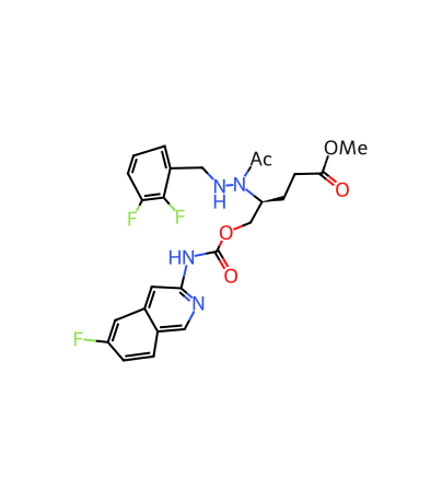 COC(=O)CC[C@@H](COC(=O)Nc1cc2cc(F)ccc2cn1)N(NCc1cccc(F)c1F)C(C)=O